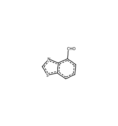 O=Cc1cccc2scnc12